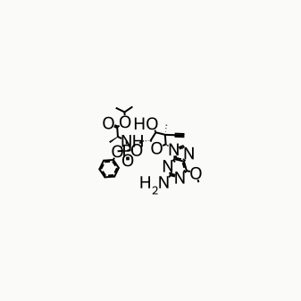 C#C[C@]1(C)[C@H](O)[C@@H](COP(=O)(N[C@@H](C)C(=O)OC(C)C)Oc2ccccc2)O[C@H]1n1cnc2c(OC)nc(N)nc21